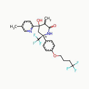 C=C1C(=O)N[C@@](c2ccc(OCCCC(F)(F)F)cc2)(C(F)(F)F)CC1(O)c1ccc(C)cn1